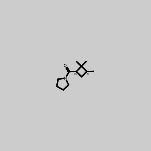 C[C@H]1C[C@@H](C(=O)N2CCCC2)C1(C)C